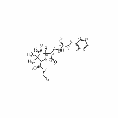 CC1(C)[C@H](C(=O)OCI)N2C(=O)[C@H](CNC(=O)OCc3ccccc3)[C@H]2S1(=O)=O